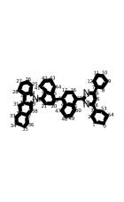 c1ccc(-c2cc(-c3ccccc3)nc(-c3ccc(-c4ccc(-n5c6ccccc6c6cc7ccccc7cc65)c5ccccc45)c4ccccc34)n2)cc1